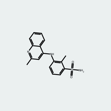 Cc1cc(Nc2cccc(S(N)(=O)=O)c2C)c2ccccc2n1